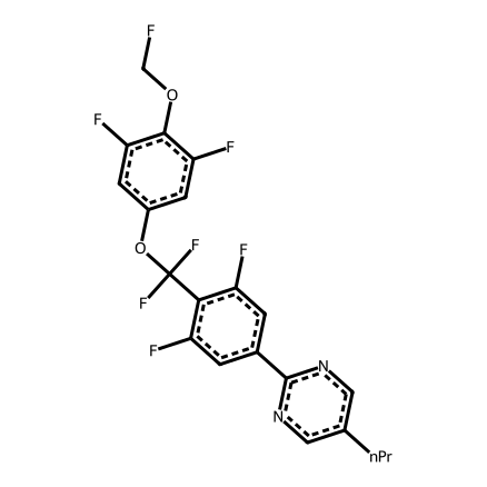 CCCc1cnc(-c2cc(F)c(C(F)(F)Oc3cc(F)c(OCF)c(F)c3)c(F)c2)nc1